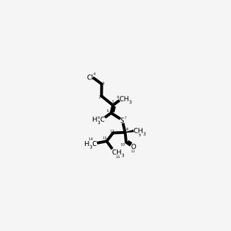 C/C(CCCl)=C(/C)S[C@](C)(C=O)CC(C)C